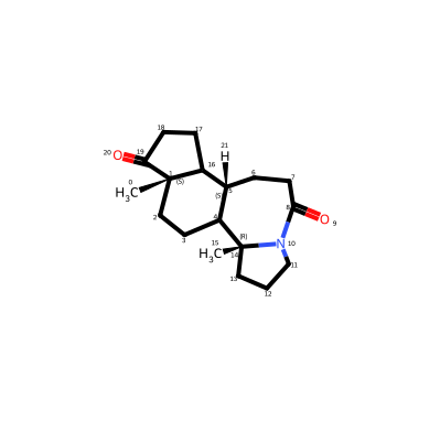 C[C@]12CCC3[C@@H](CCC(=O)N4CCC[C@]34C)C1CCC2=O